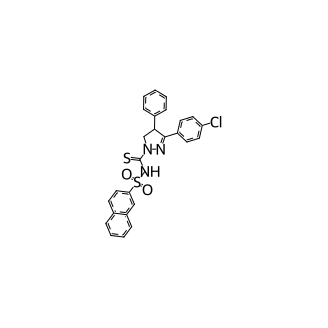 O=S(=O)(NC(=S)N1CC(c2ccccc2)C(c2ccc(Cl)cc2)=N1)c1ccc2ccccc2c1